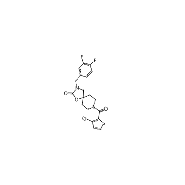 O=C1OC2(CCN(C(=O)c3sccc3Cl)CC2)CN1Cc1ccc(F)c(F)c1